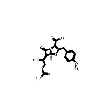 COc1ccc(CC2S[C@@H]3C(=C(C)COC(C)=O)C(=O)N3C2C(=O)O)cc1